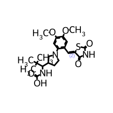 COc1cc(/C=C2\SC(=O)NC2=O)c(N2CCC(C(NC(=O)O)C(C)(C)C)C2)cc1OC